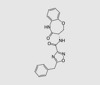 O=C(N[C@H]1COc2ccccc2NC1=O)c1noc(Cc2ccccc2)n1